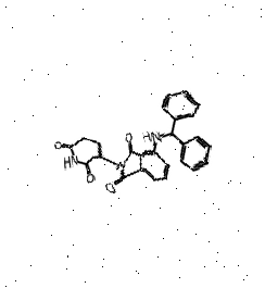 O=C1CCC(N2C(=O)c3cccc(NC(c4ccccc4)c4ccccc4)c3C2=O)C(=O)N1